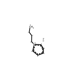 CCCC[n+]1ccccc1.[I-]